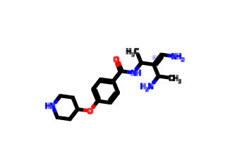 CC(N)/C(=C\N)C(C)NC(=O)c1ccc(OC2CCNCC2)cc1